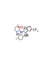 CCC(O)C(N(C1CC(C)CCC1C(C)C)C1CC(C)CCC1C(C)C)C1(c2cccc(C(F)(F)F)c2)CCC1